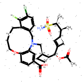 CC(=O)O[C@@H](C1=C[C@H]([C@H](C)[C@@H](C)S(N)(=O)=O)C1)[C@@H]1CC[C@H]1CN1Cc2ccc(Cl)c(F)c2CCCCOc2ccc(C(=O)O)cc21